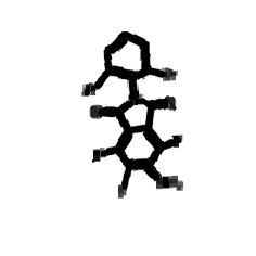 CC(C)c1cccc(C(C)C)c1N1C(=O)c2c(F)c(N)c(F)c(F)c2C1=O